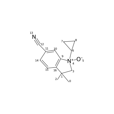 CC1(C)C[N+]([O-])(C2CC2)c2cc(C#N)ccc21